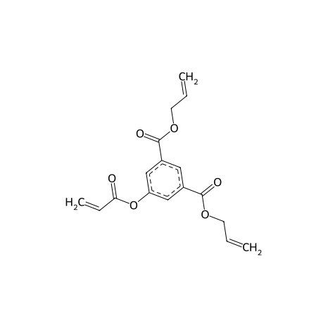 C=CCOC(=O)c1cc(OC(=O)C=C)cc(C(=O)OCC=C)c1